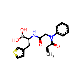 C=CC(=O)N(CC(=O)N[C@@H](Cc1ccsc1)B(O)O)c1ccccc1